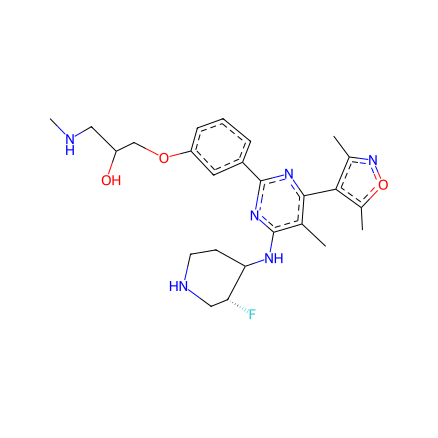 CNCC(O)COc1cccc(-c2nc(NC3CCNC[C@H]3F)c(C)c(-c3c(C)noc3C)n2)c1